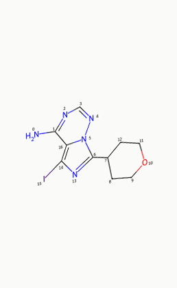 Nc1ncnn2c(C3CCOCC3)nc(I)c12